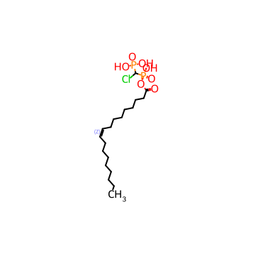 CCCCCCCC/C=C\CCCCCCCC(=O)OP(=O)(O)C(Cl)P(=O)(O)O